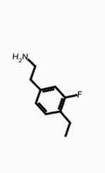 CCc1ccc(CCN)cc1F